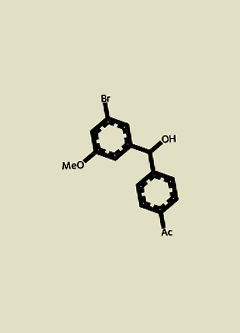 COc1cc(Br)cc(C(O)c2ccc(C(C)=O)cc2)c1